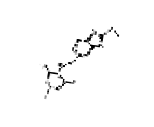 CSc1nc2ccc(CNc3c(N)cc(F)cc3F)cc2s1